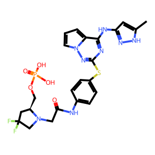 Cc1cc(Nc2nc(Sc3ccc(NC(=O)CN4CC(F)(F)C[C@H]4COP(=O)(O)O)cc3)nn3cccc23)n[nH]1